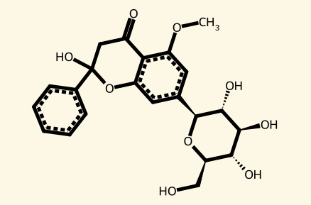 COc1cc([C@@H]2O[C@H](CO)[C@@H](O)[C@H](O)[C@H]2O)cc2c1C(=O)CC(O)(c1ccccc1)O2